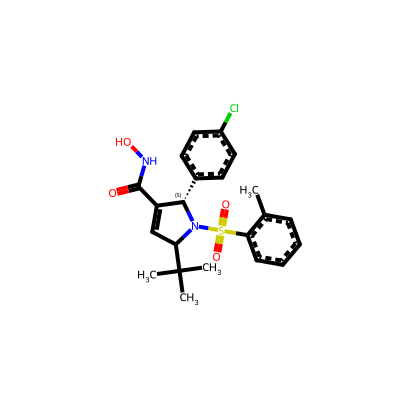 Cc1ccccc1S(=O)(=O)N1C(C(C)(C)C)C=C(C(=O)NO)[C@@H]1c1ccc(Cl)cc1